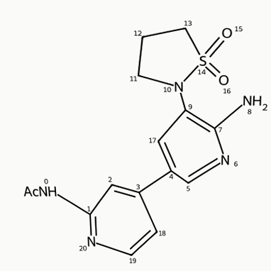 CC(=O)Nc1cc(-c2cnc(N)c(N3CCCS3(=O)=O)c2)ccn1